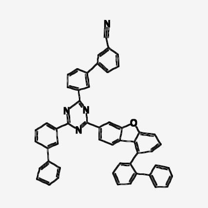 N#Cc1cccc(-c2cccc(-c3nc(-c4cccc(-c5ccccc5)c4)nc(-c4ccc5c(c4)oc4cccc(-c6ccccc6-c6ccccc6)c45)n3)c2)c1